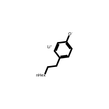 CCCCCCCCc1ccc([O-])cc1.[Li+]